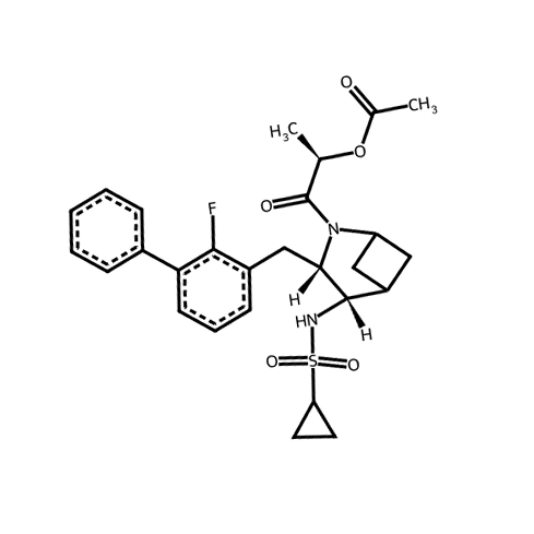 CC(=O)O[C@H](C)C(=O)N1C2CC(C2)[C@H](NS(=O)(=O)C2CC2)[C@@H]1Cc1cccc(-c2ccccc2)c1F